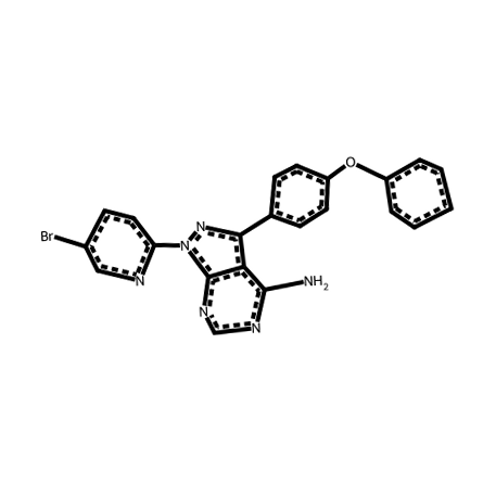 Nc1ncnc2c1c(-c1ccc(Oc3ccccc3)cc1)nn2-c1ccc(Br)cn1